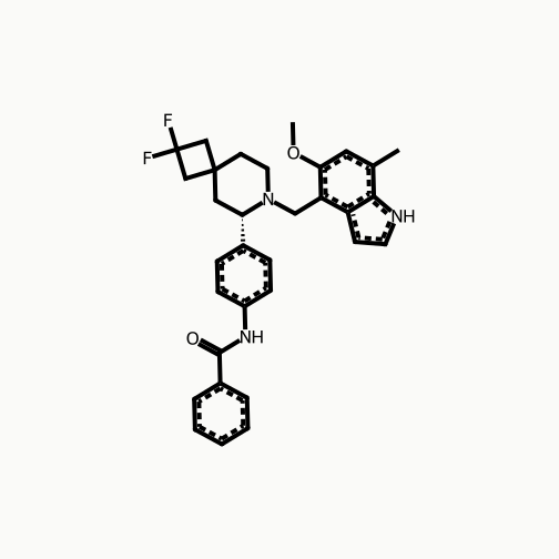 COc1cc(C)c2[nH]ccc2c1CN1CCC2(C[C@H]1c1ccc(NC(=O)c3ccccc3)cc1)CC(F)(F)C2